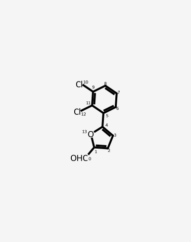 O=Cc1ccc(-c2cccc(Cl)c2Cl)o1